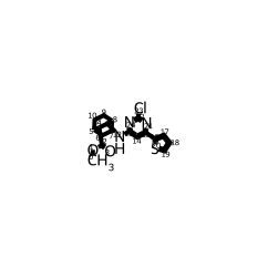 COC(=O)C1C2CCC(CC2)C1Nc1cc(-c2cccs2)nc(Cl)n1